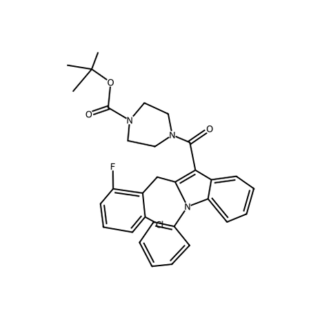 CC(C)(C)OC(=O)N1CCN(C(=O)c2c(Cc3c(F)cccc3Cl)n(-c3ccccc3)c3ccccc23)CC1